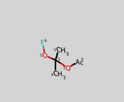 CC(=O)OC(C)(C)OF